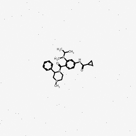 CC(C)N(C)c1cc(NC(=O)C2CC2)ccc1C(=O)N1CCN(C)CC1c1ccccc1